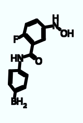 Bc1ccc(NC(=O)c2cc(NO)ccc2F)cc1